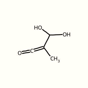 CC(=C=O)C(O)O